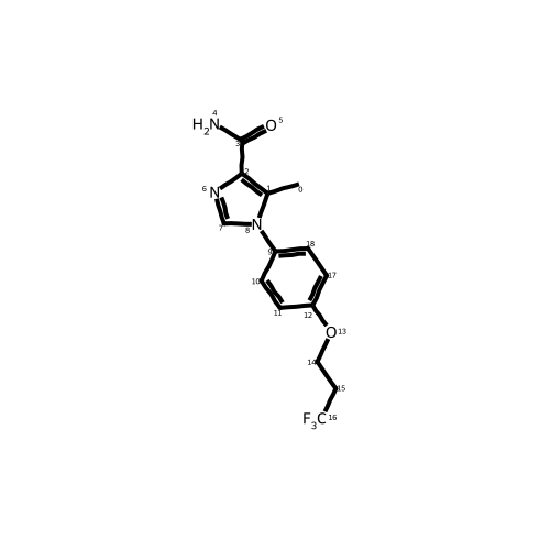 Cc1c(C(N)=O)ncn1-c1ccc(OCCC(F)(F)F)cc1